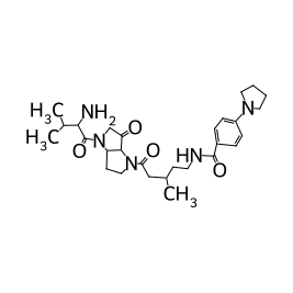 CC(CCNC(=O)c1ccc(N2CCCC2)cc1)CC(=O)N1CCC2C1C(=O)CN2C(=O)C(N)C(C)C